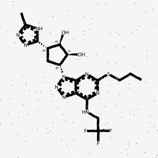 CCCSc1nc(NCC(F)(F)F)c2nnn([C@@H]3C[C@H](c4nnc(C)[nH]4)[C@@H](O)[C@H]3O)c2n1